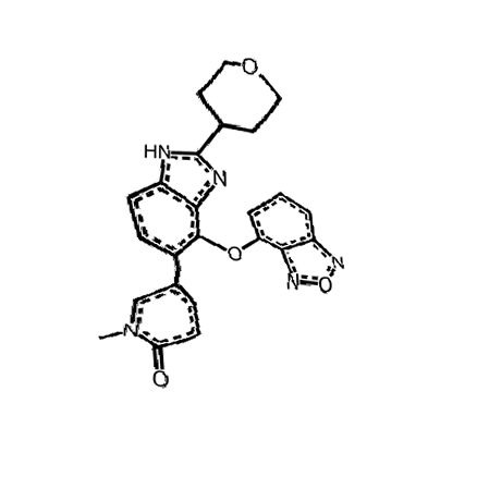 Cn1cc(-c2ccc3[nH]c(C4CCOCC4)nc3c2Oc2cccc3nonc23)ccc1=O